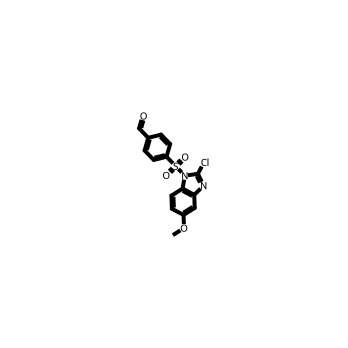 COc1ccc2c(c1)nc(Cl)n2S(=O)(=O)c1ccc(C=O)cc1